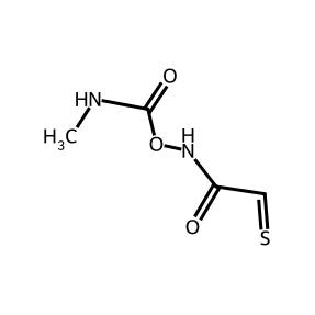 CNC(=O)ONC(=O)C=S